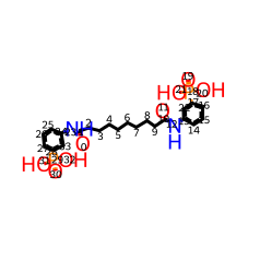 O=C(CCCCCCCCC(=O)Nc1cccc(P(=O)(O)O)c1)Nc1cccc(P(=O)(O)O)c1